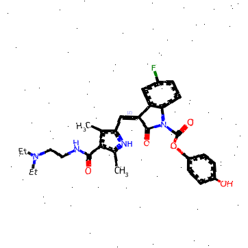 CCN(CC)CCNC(=O)c1c(C)[nH]c(/C=C2\C(=O)N(C(=O)Oc3ccc(O)cc3)c3ccc(F)cc32)c1C